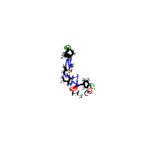 COc1cc(C(=O)NCC2CCN(CC3=CN(c4ccc(Cl)cc4)CS3)CC2)ccc1Cl